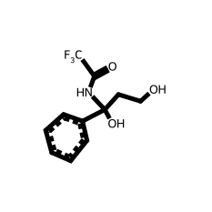 O=C(NC(O)(CCO)c1ccccc1)C(F)(F)F